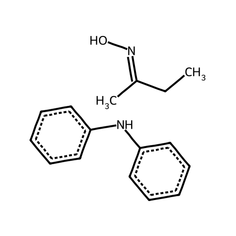 CCC(C)=NO.c1ccc(Nc2ccccc2)cc1